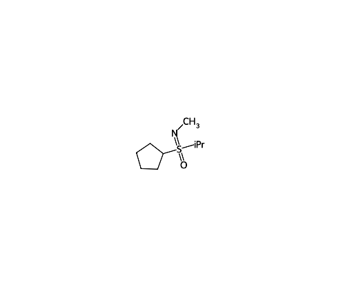 CN=S(=O)(C(C)C)C1CCCC1